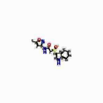 Cc1cc(NC(=O)C[S+]([O-])c2c[nH]c3ccccc23)no1